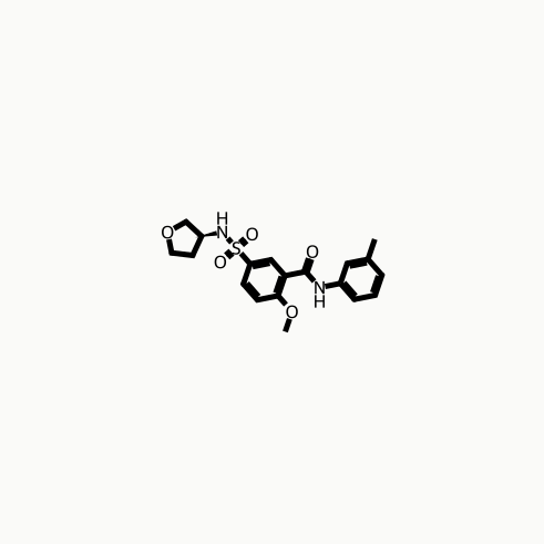 COc1ccc(S(=O)(=O)N[C@H]2CCOC2)cc1C(=O)Nc1cccc(C)c1